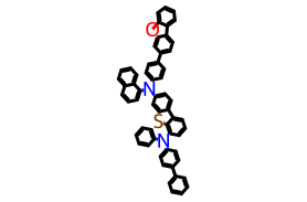 c1ccc(-c2ccc(N(c3ccccc3)c3cccc4c3sc3cc(N(c5ccc(-c6ccc7c(c6)oc6ccccc67)cc5)c5cccc6ccccc56)ccc34)cc2)cc1